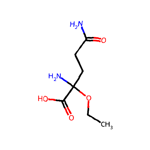 CCOC(N)(CCC(N)=O)C(=O)O